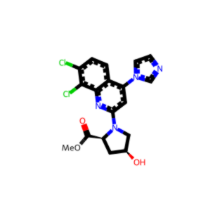 COC(=O)[C@@H]1C[C@H](O)CN1c1cc(-n2ccnc2)c2ccc(Cl)c(Cl)c2n1